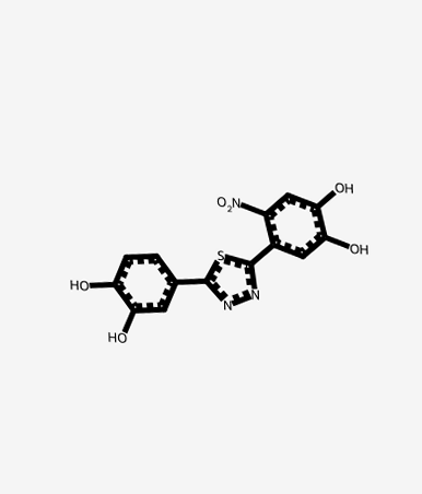 O=[N+]([O-])c1cc(O)c(O)cc1-c1nnc(-c2ccc(O)c(O)c2)s1